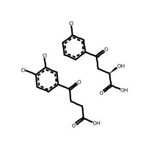 O=C(C[C@@H](O)C(=O)O)c1cccc(Cl)c1.O=C(O)CCC(=O)c1ccc(Cl)c(Cl)c1